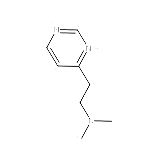 CN(C)CCc1ccn[c]n1